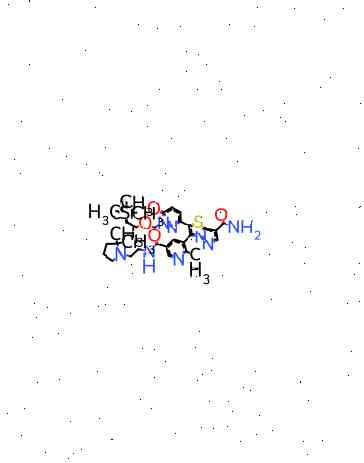 Cc1ncc(C(=O)NCCN2CCCC2(C)C)cc1-c1c(-c2ccc(=O)n(COCC[Si](C)(C)C)n2)sc2c(C(N)=O)cnn12